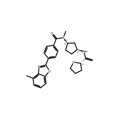 C=C(N[C@H]1CC[C@@H](N(C)C(=O)c2ccc(-c3nc4c(C)cccc4o3)cc2)C1)[C@@H]1CCCO1